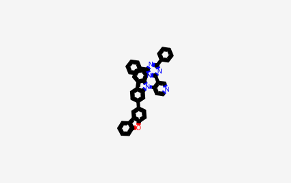 c1ccc(-c2nc(-c3ccccc3)nc(-c3cnccc3-n3c4ccccc4c4ccc(-c5ccc6oc7ccccc7c6c5)cc43)n2)cc1